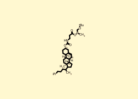 CC(C)CCCC(C)C1CC[C@H]2[C@@H]3CC=C4C[C@@H](OC(=O)NCCC(=O)ON(C)COC(C)(C)C)CC[C@]4(C)[C@H]3CC[C@]12C